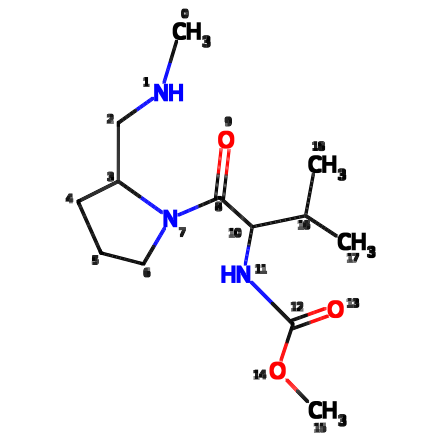 CNCC1CCCN1C(=O)C(NC(=O)OC)C(C)C